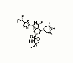 CC1CC1(C)NS(=O)(=O)c1cc(N2C[C@H](C)N[C@@H](C)C2)c2c(F)nc(-c3nnc(C(F)F)s3)n2c1